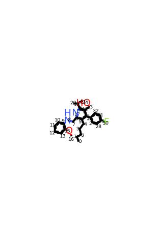 CCCCCc1c(CNc2ccccc2OC)nc(C(C)C)c(CO)c1-c1ccc(F)cc1